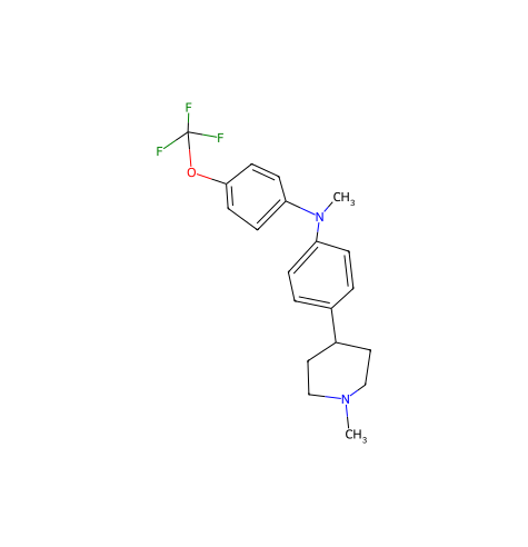 CN1CCC(c2ccc(N(C)c3ccc(OC(F)(F)F)cc3)cc2)CC1